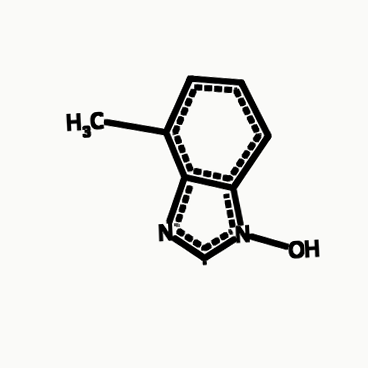 Cc1cccc2c1n[c]n2O